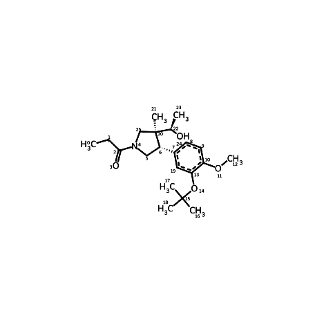 C[CH]C(=O)N1C[C@@H](c2ccc(OC)c(OC(C)(C)C)c2)[C@](C)([C@@H](C)O)C1